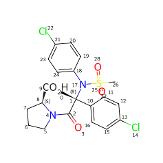 C[C@](C(=O)N1CCC[C@H]1C(=O)O)(c1ccc(Cl)cc1)N(c1ccc(Cl)cc1)S(C)(=O)=O